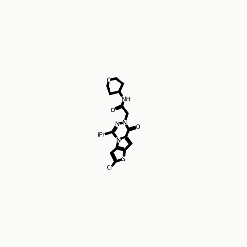 CC(C)c1nn(CC(=O)NC2CCOCC2)c(=O)c2cc3sc(Cl)cc3n12